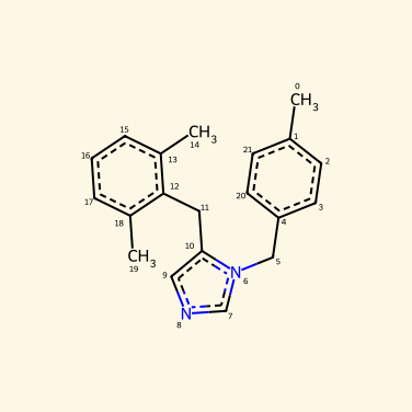 Cc1ccc(Cn2cncc2Cc2c(C)cccc2C)cc1